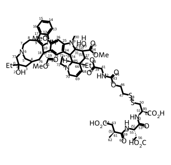 CCC1(O)CC2CN(CCc3c([nH]c4ccccc34)[C@@](C(=O)OC)(c3cc4c(cc3OC)N(C)[C@H]3[C@@](O)(C(=O)OC)[C@H](OC(=O)CNC(=O)OCCSSC[C@H](NC(=O)[C@H](CC(=O)O)NC(=O)[C@@H](C)CC(=O)O)C(=O)O)[C@]5(CC)C=CCN6CC[C@]43[C@@H]65)C2)C1